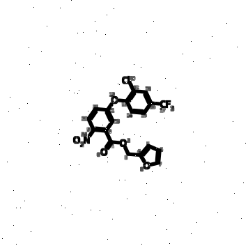 O=C(OCc1ccco1)c1cc(Oc2ccc(C(F)(F)F)cc2Cl)ccc1[N+](=O)[O-]